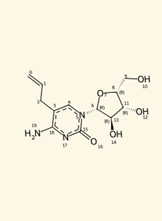 C=CCc1cn([C@@H]2O[C@H](CO)[C@H](O)[C@H]2O)c(=O)nc1N